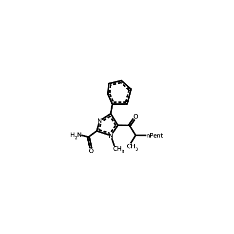 CCCCCC(C)C(=O)c1c(-c2ccccc2)nc(C(N)=O)n1C